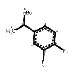 CCCCC(C)c1ccc(F)c(F)c1